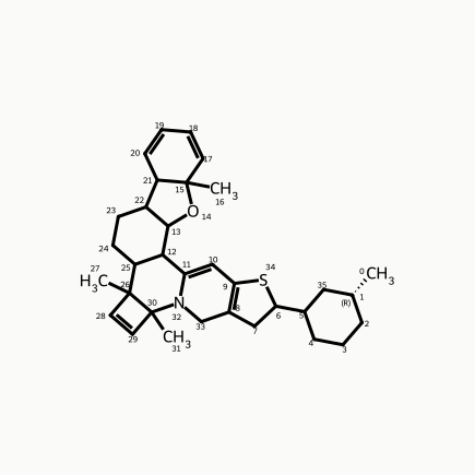 C[C@@H]1CCCC(C2CC3=C(C=C4C5C6OC7(C)C=CC=CC7C6CCC5C5(C)C=CC5(C)N4C3)S2)C1